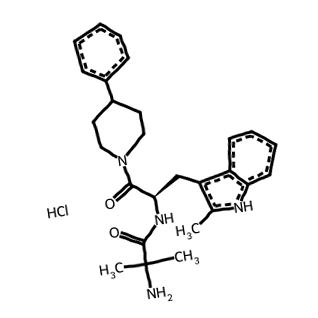 Cc1[nH]c2ccccc2c1C[C@@H](NC(=O)C(C)(C)N)C(=O)N1CCC(c2ccccc2)CC1.Cl